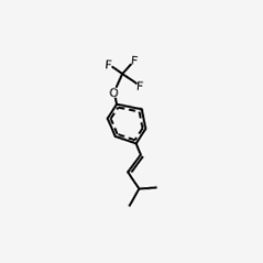 CC(C)/C=C/c1ccc(OC(F)(F)F)cc1